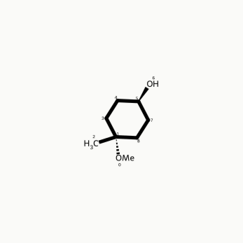 CO[C@]1(C)CC[C@@H](O)CC1